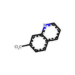 ClC(Cl)(Cl)c1ccc2cccnc2c1